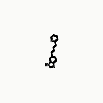 C(C=Cc1ccccn1)=Cc1ccc2nc[nH]c2c1